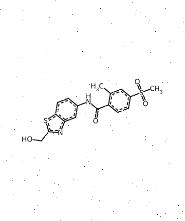 Cc1cc(S(C)(=O)=O)ccc1C(=O)Nc1ccc2sc(CO)nc2c1